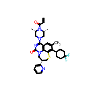 C=CC(=O)N1[C@H](C)CN(c2nc(=O)n3c4c(c(C5CCC(F)(F)CC5)c(C(F)(F)F)cc24)SC[C@H](c2ccccn2)C3)C[C@@H]1C